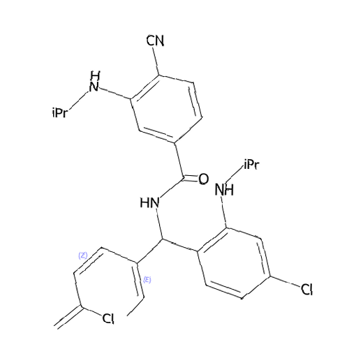 C=C(Cl)/C=C\C(=C/C)C(NC(=O)c1ccc(C#N)c(NC(C)C)c1)c1ccc(Cl)cc1NC(C)C